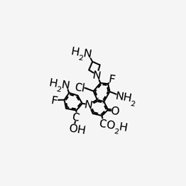 Nc1cc(-n2cc(C(=O)O)c(=O)c3c(N)c(F)c(N4CC(N)C4)c(Cl)c32)c(CO)cc1F